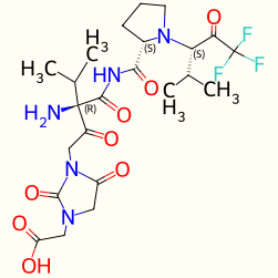 CC(C)[C@@H](C(=O)C(F)(F)F)N1CCC[C@H]1C(=O)NC(=O)[C@](N)(C(=O)CN1C(=O)CN(CC(=O)O)C1=O)C(C)C